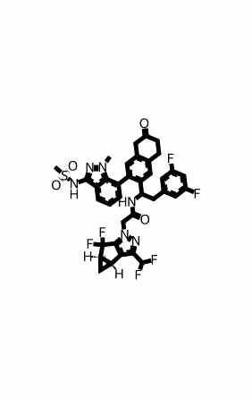 Cn1nc(NS(C)(=O)=O)c2cccc(-c3cc4c(cc3C(Cc3cc(F)cc(F)c3)NC(=O)Cn3nc(C(F)F)c5c3C(F)(F)[C@@H]3C[C@H]53)CCC(=O)C4)c21